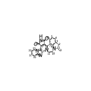 CC1Cc2cccc3c2N1C=CN=C3C1=C(c2cnc3ccccn23)C(=O)NC1=O